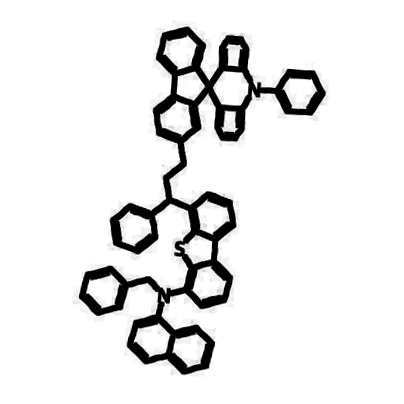 c1ccc(CN(c2cccc3ccccc23)c2cccc3c2sc2c(C(CCc4ccc5c(c4)C4(c6ccccc6-5)c5ccccc5N(c5ccccc5)c5ccccc54)c4ccccc4)cccc23)cc1